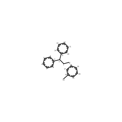 [CH2]CC(c1ccccc1)c1ccccc1.[CH2]c1ccccc1